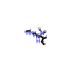 CCNCN[SiH](C(C)CC)N(C)C